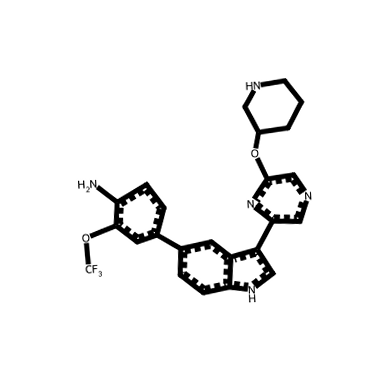 Nc1ccc(-c2ccc3[nH]cc(-c4cncc(OC5CCCNC5)n4)c3c2)cc1OC(F)(F)F